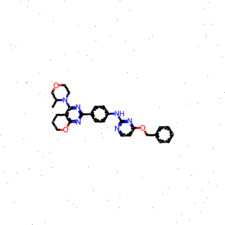 CC1COCCN1c1nc(-c2ccc(Nc3nccc(OCc4ccccc4)n3)cc2)nc2c1CCCO2